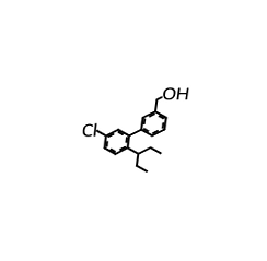 CCC(CC)c1ccc(Cl)cc1-c1cccc(CO)c1